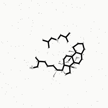 CC(C)COCC(C)C.CC(CO)CCC[C@@H](C)[C@H]1CC[C@H]2[C@@H]3CCC4CCCC[C@]4(C)[C@H]3CC[C@]12C